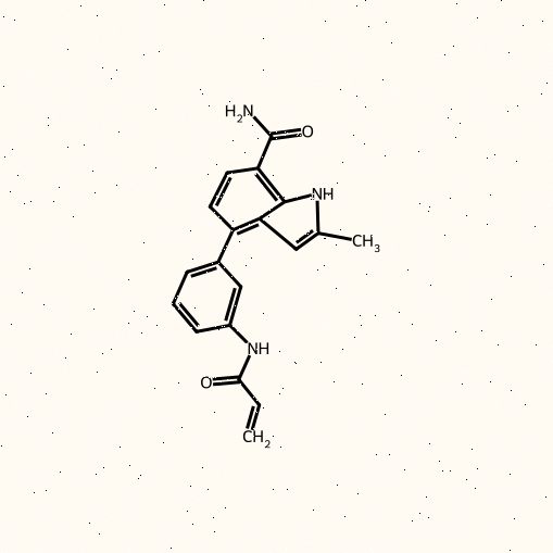 C=CC(=O)Nc1cccc(-c2ccc(C(N)=O)c3[nH]c(C)cc23)c1